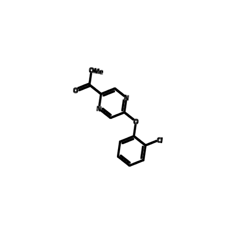 COC(=O)c1cnc(Oc2ccccc2Cl)cn1